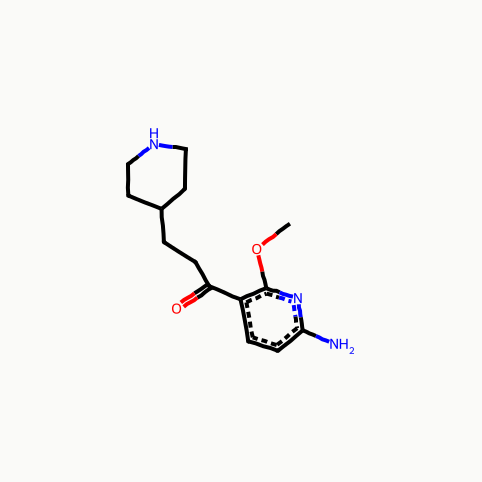 COc1nc(N)ccc1C(=O)CCC1CCNCC1